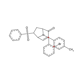 Cc1ccc(C2=CC3C(S(=O)(=O)c4ccccc4)CC(C2=O)N3Cc2ccccc2Br)cc1